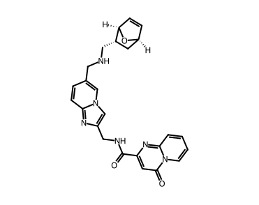 O=C(NCc1cn2cc(CNC[C@H]3C[C@@H]4C=C[C@H]3O4)ccc2n1)c1cc(=O)n2ccccc2n1